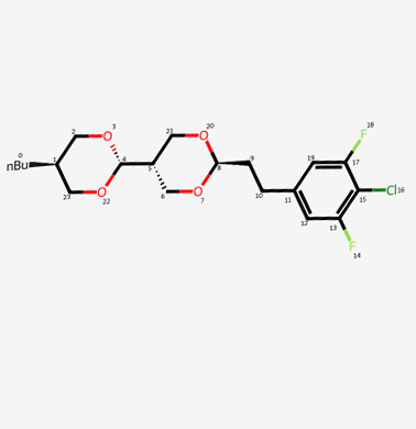 CCCC[C@H]1CO[C@H]([C@H]2CO[C@H](CCc3cc(F)c(Cl)c(F)c3)OC2)OC1